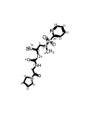 CN(CC(OC(=O)NCC(=O)N1CCCC1)C(C)(C)C)S(=O)(=O)c1ccccn1